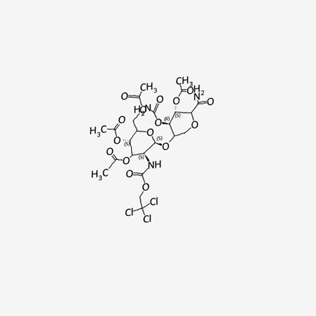 CC(=O)OCC1O[C@@H](OC2COC(C(N)=O)[C@@H](OC(C)=O)[C@@H]2OC(N)=O)[C@@H](NC(=O)OCC(Cl)(Cl)Cl)C(OC(C)=O)[C@@H]1OC(C)=O